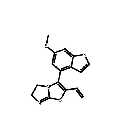 C=CC1=C(c2cc(SC)cc3sccc23)N2CCN=C2S1